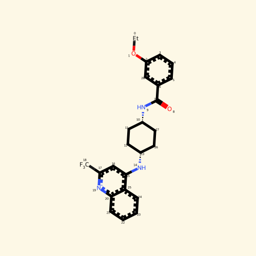 CCOc1cccc(C(=O)N[C@H]2CC[C@@H](Nc3cc(C(F)(F)F)nc4ccccc34)CC2)c1